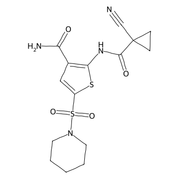 N#CC1(C(=O)Nc2sc(S(=O)(=O)N3CCCCC3)cc2C(N)=O)CC1